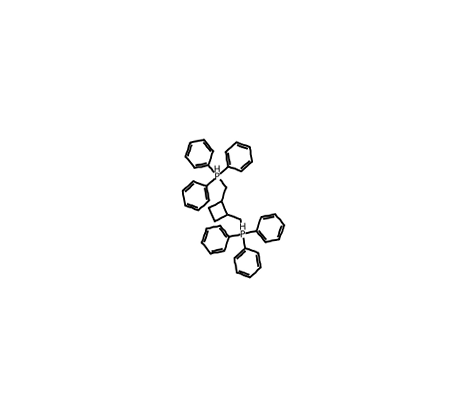 c1ccc([PH](CC2CCC2C[PH](c2ccccc2)(c2ccccc2)c2ccccc2)(c2ccccc2)c2ccccc2)cc1